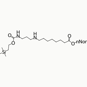 CCCCCCCCCOC(=O)CCCCCCCNCCCNC(=O)OCC[Si](C)(C)C